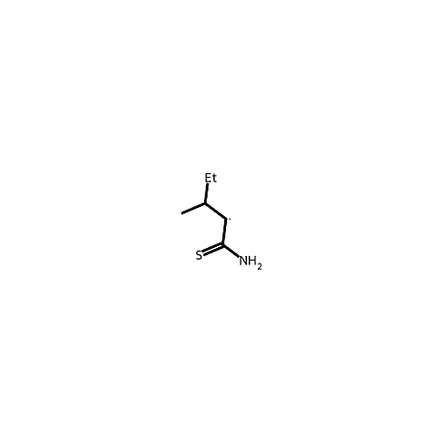 CCC(C)[CH]C(N)=S